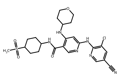 CS(=O)(=O)C1CCC(NC(=O)c2cnc(Nc3ncc(C#N)cc3Cl)cc2NC2CCOCC2)CC1